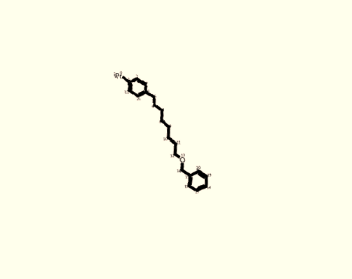 CC(C)c1ccc(CCCCCCCCOCc2ccccc2)cc1